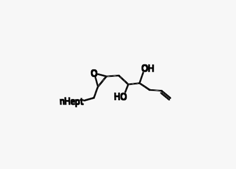 C=CCC(O)C(O)CC1OC1CCCCCCCC